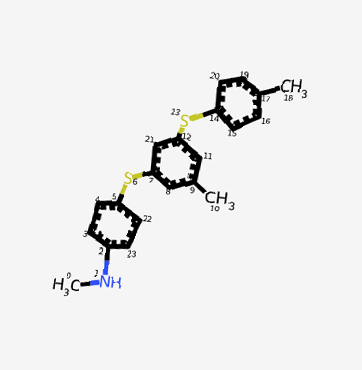 CNc1ccc(Sc2cc(C)cc(Sc3ccc(C)cc3)c2)cc1